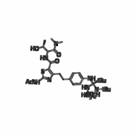 CC(=O)Nc1nc(CCc2ccc(N[C@@](NC(=O)O)(N(C(=O)O)C(C)(C)C)C(C)(C)C)cc2)c(C(=O)NC(C(=O)N(C)C)[C@H](C)O)s1